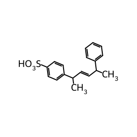 CC(C=CC(C)c1ccc(S(=O)(=O)O)cc1)c1ccccc1